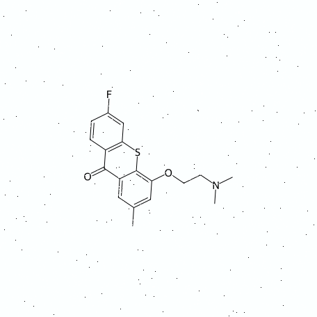 Cc1cc(OCCN(C)C)c2sc3cc(F)ccc3c(=O)c2c1